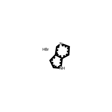 Br.c1cc2[nH]ccc2cn1